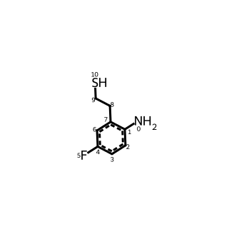 Nc1ccc(F)cc1CCS